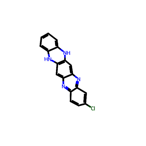 Clc1ccc2nc3cc4c(cc3nc2c1)Nc1ccccc1N4